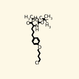 COC(=O)C(CCCc1ccc(OCCCCCl)cc1)NC(=O)OC(C)(C)C